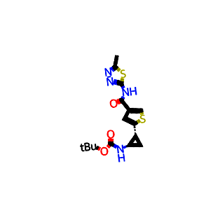 Cc1nnc(NC(=O)c2csc([C@@H]3C[C@H]3NC(=O)OC(C)(C)C)c2)s1